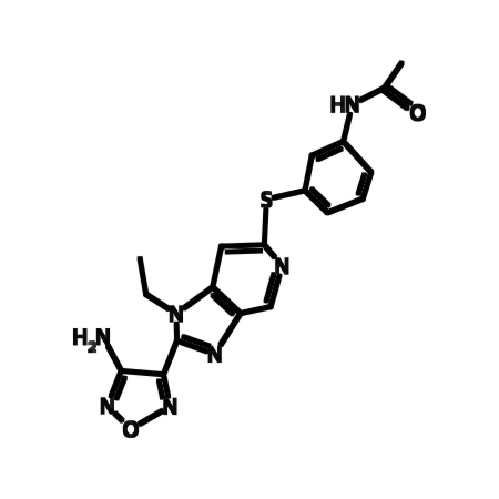 CCn1c(-c2nonc2N)nc2cnc(Sc3cccc(NC(C)=O)c3)cc21